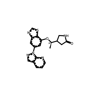 C[C@@H](Oc1cc(-n2ncc3cccnc32)cc2ncsc12)C1CNC(=O)C1